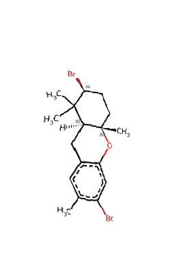 Cc1cc2c(cc1Br)O[C@@]1(C)CC[C@H](Br)C(C)(C)[C@@H]1C2